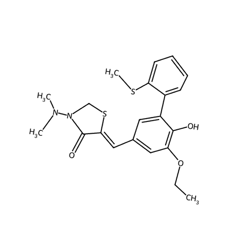 CCOc1cc(/C=C2\SCN(N(C)C)C2=O)cc(-c2ccccc2SC)c1O